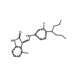 CCCN(CCC)c1ccc(NC=C2C(=O)Nc3cccc(C)c32)cc1F